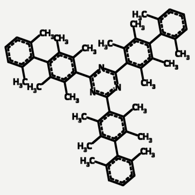 Cc1cccc(C)c1-c1c(C)c(C)c(-c2nc(-c3c(C)c(C)c(-c4c(C)cccc4C)c(C)c3C)nc(-c3c(C)c(C)c(-c4c(C)cccc4C)c(C)c3C)n2)c(C)c1C